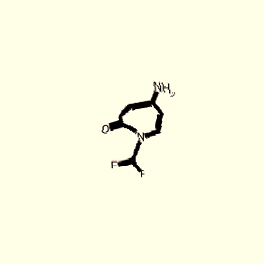 Nc1ccn(C(F)F)c(=O)c1